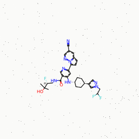 CC(C)(O)[C@H](F)CNC(=O)c1cnc(-c2ccc3cc(C#N)cnn23)cc1N[C@H]1CC[C@H](c2cnn(CC(F)F)c2)CC1